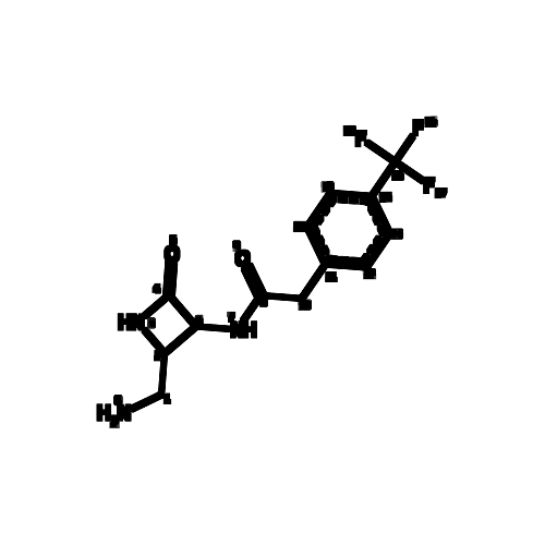 NCC1NC(=O)C1NC(=O)Cc1ccc(C(F)(F)F)cc1